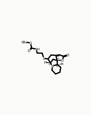 CC(C)(C)OC(=O)NCCSC1CC2=CC(=O)O[C@@]23C[C@@H]1N1CCCC[C@@H]13